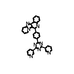 c1cncc(-c2nc(-c3ccc(-c4nc5ccccc5c5nc6ccccn6c45)cc3)nc(-c3cccnc3)n2)c1